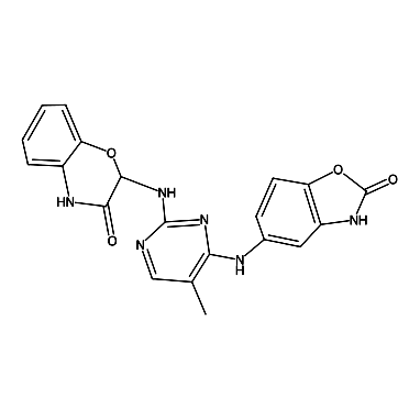 Cc1cnc(NC2Oc3ccccc3NC2=O)nc1Nc1ccc2oc(=O)[nH]c2c1